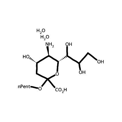 CCCCCOC1(C(=O)O)C[C@H](O)[C@@H](N)[C@H](C(O)C(O)CO)O1.O.O